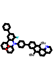 CC(C)(C)c1c2cc(-c3ccc(N(c4ccccc4)c4c(F)cc(-c5ccccc5)cc4-c4ccccc4)cc3)ccc2c(C(C)(C)C)c2c1ccc1cccnc12